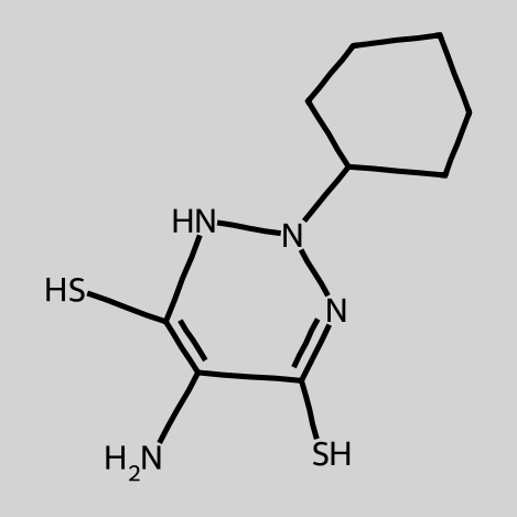 NC1=C(S)NN(C2CCCCC2)N=C1S